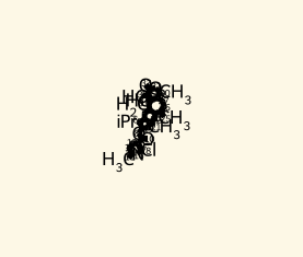 C=C1C2CC3C(C(C)C)C(OC(=O)c4ccc(C)nc4Cl)CC3(C)CC2C(C)=CCC2C(C)OC(=O)C(O)C12O